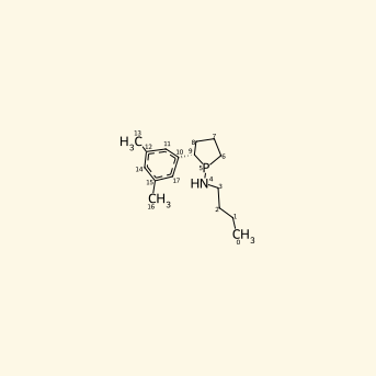 CCCCNP1CCC[C@H]1c1cc(C)cc(C)c1